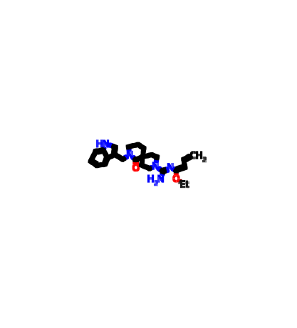 C=C/C=C(\N=C(/N)N1CCC2(CCCN(Cc3c[nH]c4ccccc34)C2=O)CC1)OCC